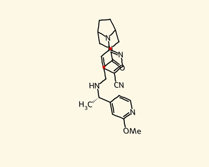 COc1cc([C@H](C)NCCC(=O)N2CC3CCC(C2)N3c2ccc(C#N)cn2)ccn1